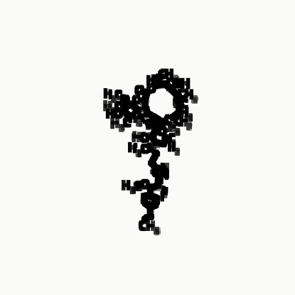 CCSc1ccc([C@@H](OC)[C@@H](CF)n2cc(CCN(C)[C@H]3C[C@@H](C)O[C@@H](O[C@@H]4[C@@H](C)[C@H](C5C[C@@](C)(OC)[C@@H](O)[C@H](C)O5)[C@@H](C)C(=O)O[C@H](CC)[C@@](C)(O)[C@H](O)[C@@H](C)N(C)C[C@H](C)C[C@@]4(C)O)[C@@H]3O)nn2)cc1